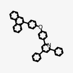 c1ccc(-c2cc(-c3ccccc3)nc(-c3ccc(Oc4ccc(-c5cc6ccccc6c6ccccc56)cc4)cc3)c2)cc1